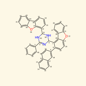 c1ccc(C2=NC(c3c(-c4ccc5ccccc5c4)ccc4oc5ccccc5c34)NC(c3cccc4c3oc3ccccc34)N2)cc1